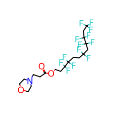 O=C(CCN1CCOCC1)OCCC(F)(F)C(F)(F)CCC(F)(F)CC(F)(F)C(F)(F)CC(F)(F)F